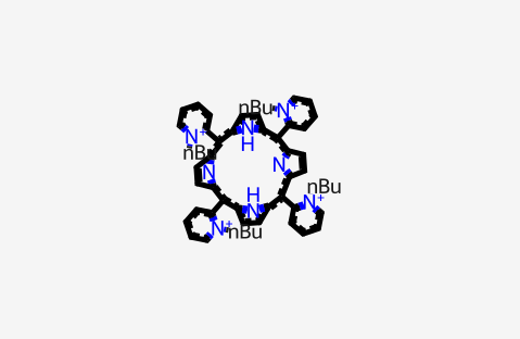 CCCC[n+]1ccccc1-c1c2nc(c(-c3cccc[n+]3CCCC)c3ccc([nH]3)c(-c3cccc[n+]3CCCC)c3nc(c(-c4cccc[n+]4CCCC)c4ccc1[nH]4)C=C3)C=C2